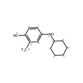 N#Cc1ccc(NC2CC[CH]CC2)cc1C(F)(F)F